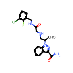 NC(=O)c1nn(C(C=O)CNCC(=O)NCc2cccc(Cl)c2F)c2ccccc12